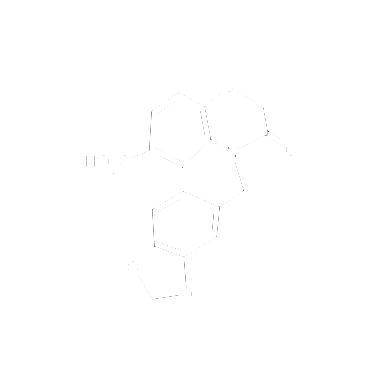 O=C(O)c1ccc2c(c1)N(Cc1ccc3c(c1)OCO3)C(=O)CS2